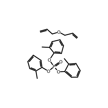 C=CCOCC=C.Cc1ccccc1OP(=O)(Oc1ccccc1C)Oc1ccccc1C